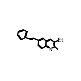 CCc1cc2cc(/C=C/c3ccccc3)ccc2nc1C